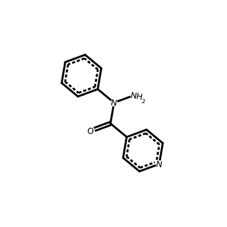 NN(C(=O)c1ccncc1)c1ccccc1